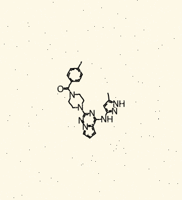 Cc1ccc(C(=O)N2CCN(c3nc(Nc4cc(C)[nH]n4)c4cccn4n3)CC2)cc1